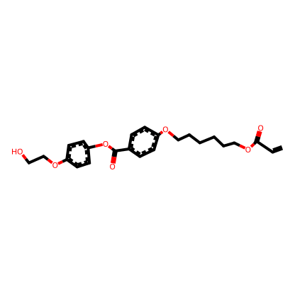 C=CC(=O)OCCCCCCOc1ccc(C(=O)Oc2ccc(OCCO)cc2)cc1